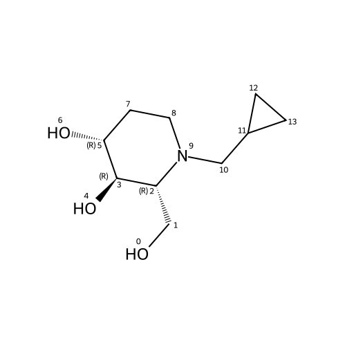 OC[C@@H]1[C@@H](O)[C@H](O)CCN1CC1CC1